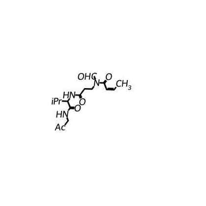 C/C=C\C(=O)N(C=O)CCC(=O)NC(C(=O)NCC(C)=O)C(C)C